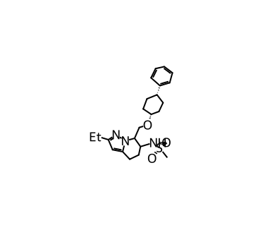 CCc1cc2n(n1)C(CO[C@H]1CC[C@@H](c3ccccc3)CC1)C(NS(C)(=O)=O)CC2